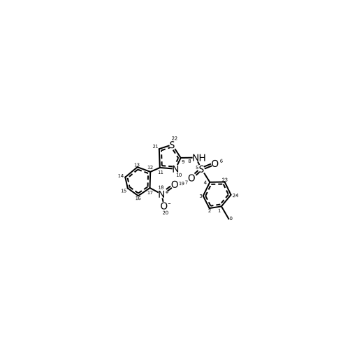 Cc1ccc(S(=O)(=O)Nc2nc(-c3ccccc3[N+](=O)[O-])cs2)cc1